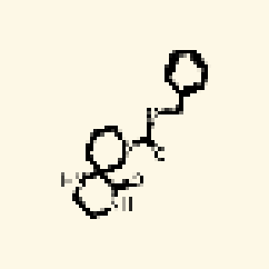 O=C(OCc1ccccc1)N1CCCC2(C1)NCCNC2=O